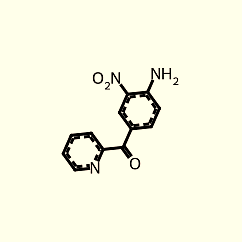 Nc1ccc(C(=O)c2ccccn2)cc1[N+](=O)[O-]